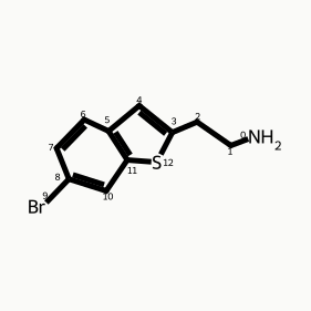 NCCc1cc2ccc(Br)cc2s1